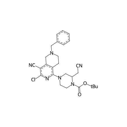 CC(C)(C)OC(=O)N1CCN(c2nc(Cl)c(C#N)c3c2CCN(Cc2ccccc2)C3)CC1CC#N